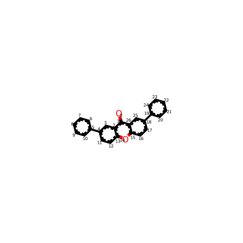 O=c1c2cc(-c3ccccc3)ccc2oc2ccc(-c3ccccc3)cc12